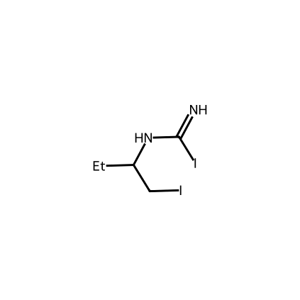 CCC(CI)NC(=N)I